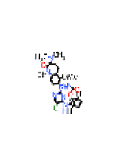 CCN1C(=O)[C@@H](N(C)C)CCc2c1ccc(Nc1ncc(Cl)c(N[C@H]3[C@@H](OC(N)=O)[C@@H]4C=C[C@H]3C4)n1)c2OC